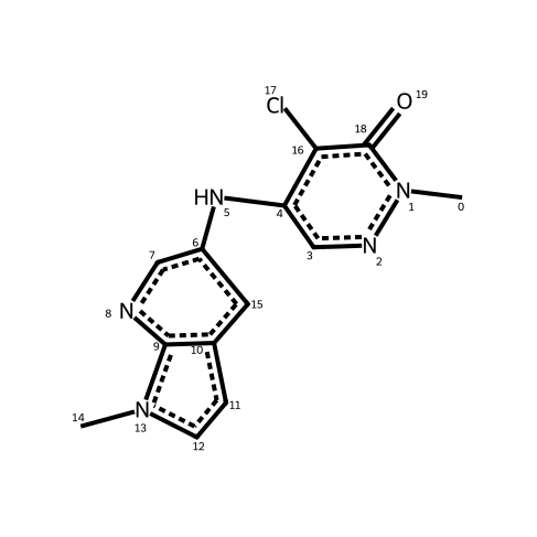 Cn1ncc(Nc2cnc3c(ccn3C)c2)c(Cl)c1=O